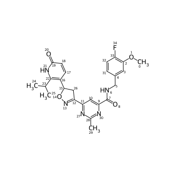 COc1cc(CNC(=O)c2cc(C3=NOC(c4ccc(=O)[nH]c4C(C)C)C3)nc(C)n2)ccc1F